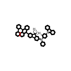 CC1(C)c2cc(-c3c4ccccc4c(-c4ccccc4-c4ccccc4)c4ccccc34)ccc2-c2ccc(N(c3ccccc3)c3ccc(-n4c5ccccc5c5ccccc54)cc3)cc21